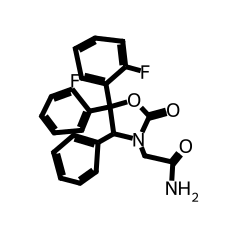 NC(=O)CN1C(=O)OC(c2ccccc2F)(c2ccccc2F)C1c1ccccc1